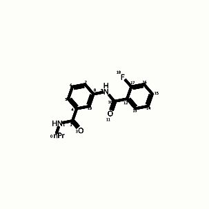 CCCNC(=O)c1cccc(NC(=O)c2ccccc2F)c1